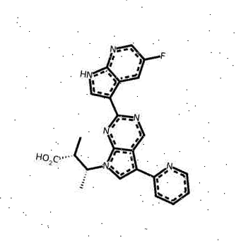 C[C@H]([C@@H](C)C(=O)O)n1cc(-c2ccccn2)c2cnc(-c3c[nH]c4ncc(F)cc34)nc21